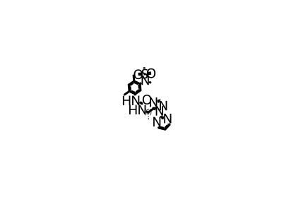 Cc1cc(C)c(N(C)S(C)(=O)=O)cc1NC(=O)N[C@@H](C)c1ncnn1-c1ncccn1